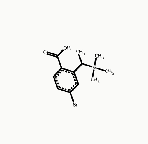 CC(c1cc(Br)ccc1C(=O)O)[Si](C)(C)C